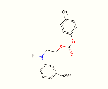 CCN(CCOC(=O)Oc1ccc(C)cc1)c1cccc(OC)c1